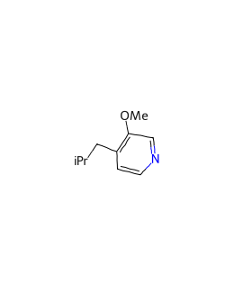 COc1cnccc1CC(C)C